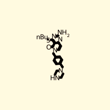 CCCCSc1nc(N)nc2ccn(Cc3ccc(CN4CCNCC4)cc3)c(=O)c12